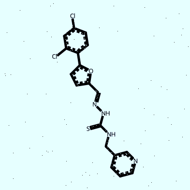 S=C(NCc1cccnc1)NN=Cc1ccc(-c2ccc(Cl)cc2Cl)o1